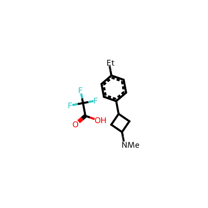 CCc1ccc(C2CC(NC)C2)cc1.O=C(O)C(F)(F)F